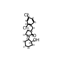 O=C1C(Cc2ccc(Cl)cc2Cl)CCN1[C@@H]1CCCC[C@@H]1O